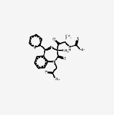 CCCC(=S)N[C@@H](C)C(=O)C1(N)N=C(c2ccccn2)c2ccccc2N(CC(=O)C(C)(C)C)C1=O